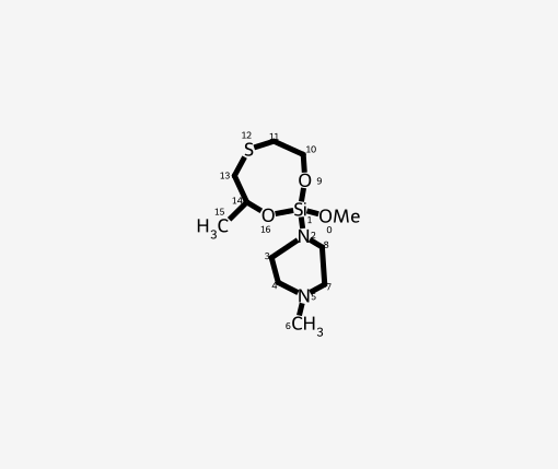 CO[Si]1(N2CCN(C)CC2)OCCSCC(C)O1